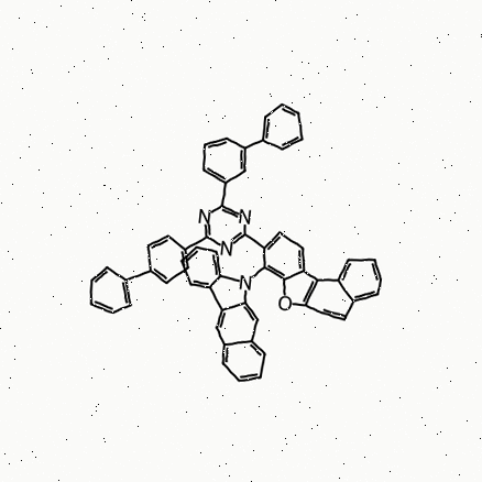 c1ccc(-c2ccc(-c3nc(-c4cccc(-c5ccccc5)c4)nc(-c4ccc5c(oc6ccc7ccccc7c65)c4-n4c5ccccc5c5cc6ccccc6cc54)n3)cc2)cc1